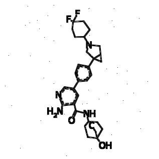 Nc1ncc(-c2ccc(C34CC3CN(C3CCC(F)(F)CC3)C4)cc2)cc1C(=O)NC12CCC(O)(CC1)CC2